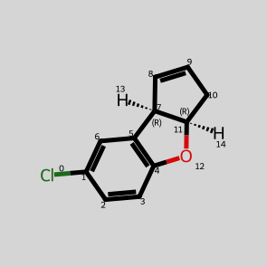 Clc1ccc2c(c1)[C@H]1C=CC[C@H]1O2